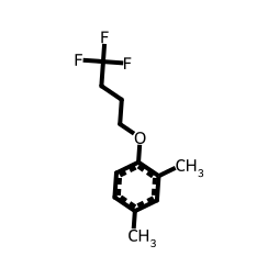 Cc1ccc(OCCCC(F)(F)F)c(C)c1